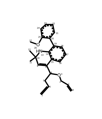 C=CCOC(CC=C)C1=CC(C)(C)Nc2c1cccc2-c1ccccc1OC